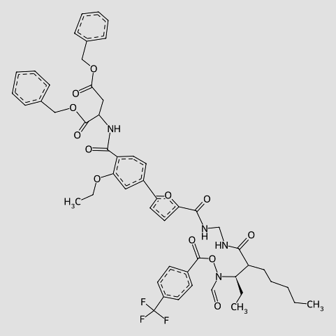 CCCCCC(C(=O)NCNC(=O)c1ccc(-c2ccc(C(=O)NC(CC(=O)OCc3ccccc3)C(=O)OCc3ccccc3)c(OCC)c2)o1)[C@@H](CC)N(C=O)OC(=O)c1ccc(C(F)(F)F)cc1